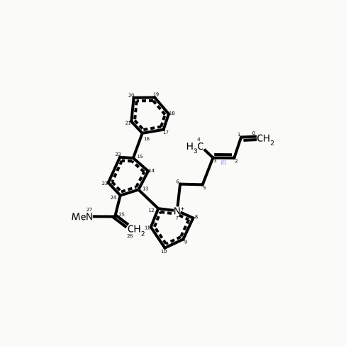 C=C/C=C(\C)CC[n+]1ccccc1-c1cc(-c2ccccc2)ccc1C(=C)NC